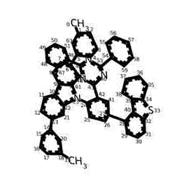 Cc1cccc(-c2ccc3c4ccc(-c5cccc(C)c5)cc4n(-c4ccc(-c5cccc6sc7ccccc7c56)cc4-c4nc(-c5ccccc5)nc(-c5ccccc5)n4)c3c2)c1